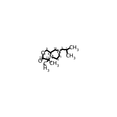 CC(C)CN1CCN2C(COC(=O)C2(C)C)C1